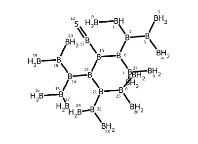 BBB(B(B)B)B(B(B)B)B(B=S)B(B(B(B)B)B(B)B)B(B(B)B)B(B)B